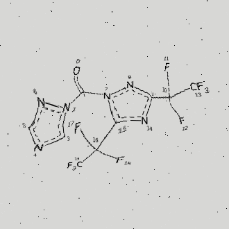 O=C(n1cncn1)n1nc(C(F)(F)C(F)(F)F)nc1C(F)(F)C(F)(F)F